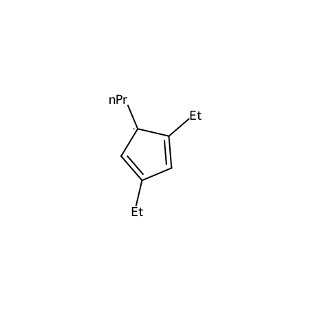 CCC[C]1C=C(CC)C=C1CC